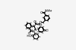 CNC(=O)c1cccc(CONC(=O)[C@@H]2c3ccccc3C(=O)N([C@H]3CCCC[C@@H]3O)[C@H]2c2ccc(Cl)cc2)c1